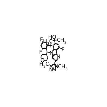 Cc1nnn(C)c1-c1cnc2c3c(F)cc(C(C)(C)O)cc3n(C(c3c(F)cc(F)cc3F)C3CCOCC3)c2c1